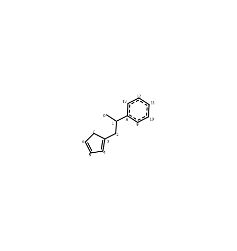 CC(CC1=CC=CC1)c1ccccc1